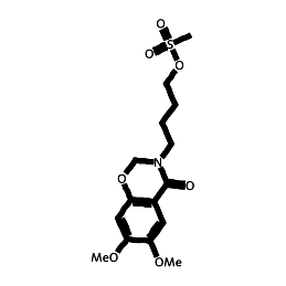 COc1cc2c(cc1OC)C(=O)N(CCCCOS(C)(=O)=O)CO2